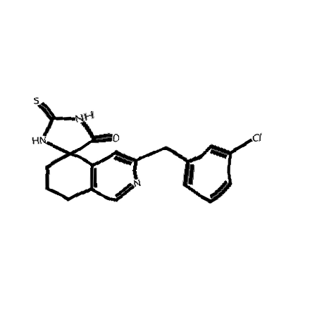 O=C1NC(=S)NC12CCCc1cnc(Cc3cccc(Cl)c3)cc12